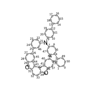 c1ccc(-c2ccc(N(c3ccc(-c4ccccc4)cc3)c3cccc(-c4ccc5oc6ccc7oc8ccccc8c7c6c5c4)c3)cc2)cc1